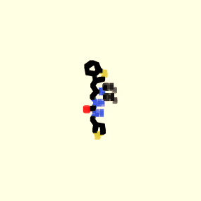 CN(C)C(CNC(=O)NCc1ccsc1)Cc1csc2ccccc12